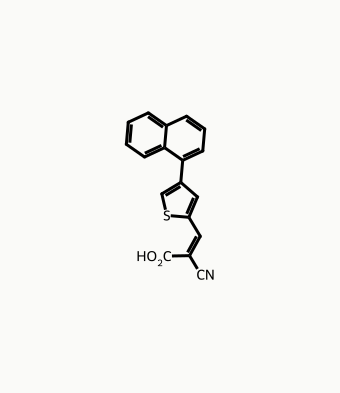 N#CC(=Cc1cc(-c2cccc3ccccc23)cs1)C(=O)O